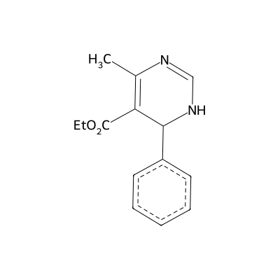 CCOC(=O)C1=C(C)N=CNC1c1ccccc1